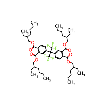 CCCCC(CC)COC(=O)c1ccc(C(c2ccc(C(=O)OCC(CC)CCCC)c(C(=O)OCC(CC)CCCC)c2)(C(F)(F)F)C(F)(F)F)cc1C(=O)OCC(CC)CCCC